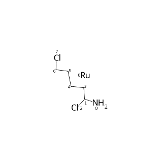 NC(Cl)CCCCCl.[Ru]